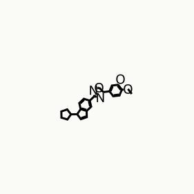 COc1ccc(-c2nc(-c3ccc4c(c3)C=CC4C3CCCC3)no2)cc1OC